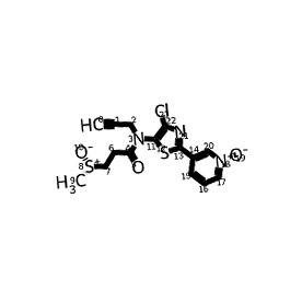 C#CCN(C(=O)CC[S+](C)[O-])c1sc(-c2ccc[n+]([O-])c2)nc1Cl